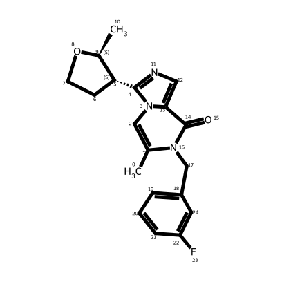 Cc1cn2c([C@@H]3CCO[C@H]3C)ncc2c(=O)n1Cc1cccc(F)c1